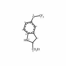 CCOC(=O)C1Cc2cc(OC(F)(F)F)ccc2N1